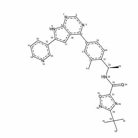 Cc1cc(-c2ncnc3[nH]c(-c4cccnc4)cc23)ccc1[C@@H](C)NC(=O)c1nc(C(C)(C)C)no1